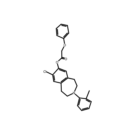 Cc1ccccc1N1CCc2cc(Cl)c(OC(=O)COc3ccccc3)cc2CC1